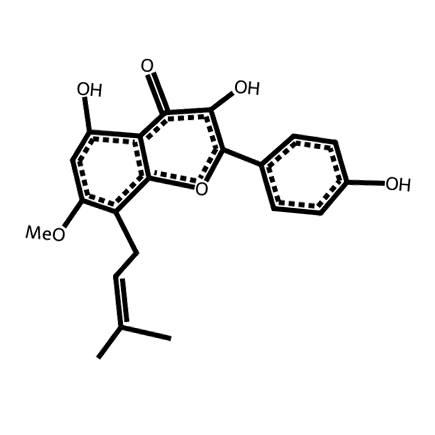 COc1cc(O)c2c(=O)c(O)c(-c3ccc(O)cc3)oc2c1CC=C(C)C